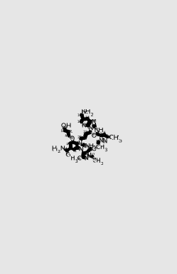 CCn1nc(C)cc1C(=O)Nc1nc2cc(CN)cnc2n1C/C=C/Cn1c(NC(=O)c2cc(C)nn2CC)nc2cc(C(N)=O)cc(OCCCO)c21